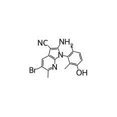 Cc1ccc(O)c(C)c1-n1c(N)c(C#N)c2cc(Br)c(C)nc21